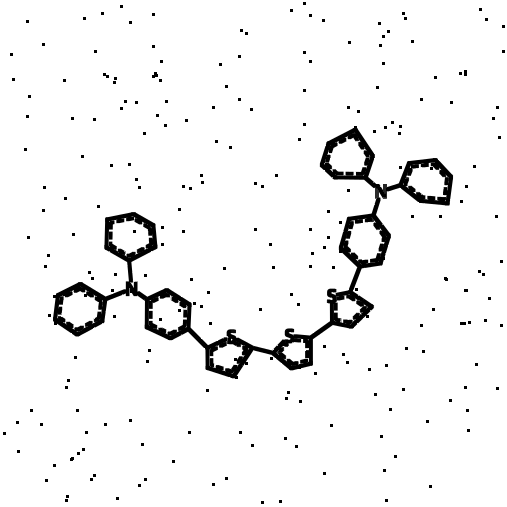 c1ccc(N(c2ccccc2)c2ccc(-c3ccc(-c4ccc(-c5ccc(-c6ccc(N(c7ccccc7)c7ccccc7)cc6)s5)s4)s3)cc2)cc1